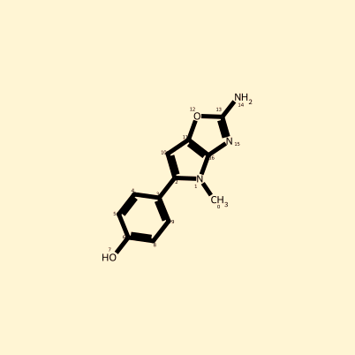 Cn1c(-c2ccc(O)cc2)cc2oc(N)nc21